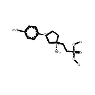 CCCCCCCCc1ccc([C@H]2CC[C@@](N)(CCP(=O)(OCC)OCC)C2)cc1